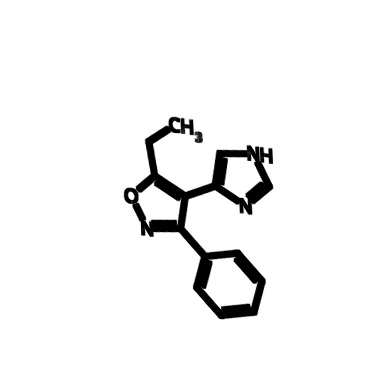 CCc1onc(-c2ccccc2)c1-c1c[nH]cn1